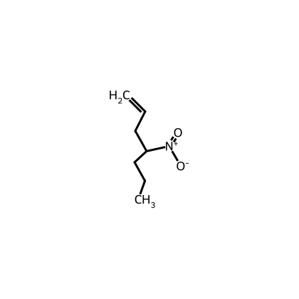 C=CCC(CCC)[N+](=O)[O-]